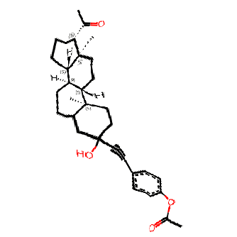 CC(=O)Oc1ccc(C#CC2(O)CC[C@@]3(C)C(CC[C@H]4[C@@H]5CC[C@H](C(C)=O)[C@@]5(C)CC[C@@H]43)C2)cc1